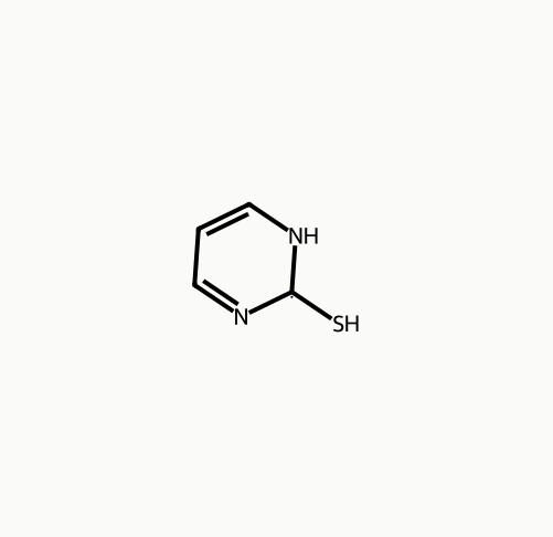 S[C]1N=CC=CN1